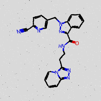 N#Cc1ccc(Cn2nc(C(=O)NCCc3nnc4ccccn34)c3ccccc32)cn1